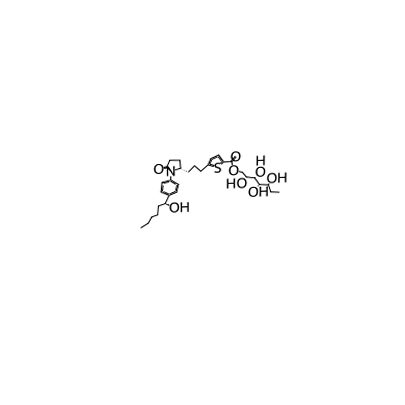 CCCCC[C@H](O)c1ccc(N2C(=O)CC[C@@H]2CCCc2ccc(C(=O)OC[C@H](O)[C@@H](O)[C@@H](O)[C@@H](O)CC)s2)cc1